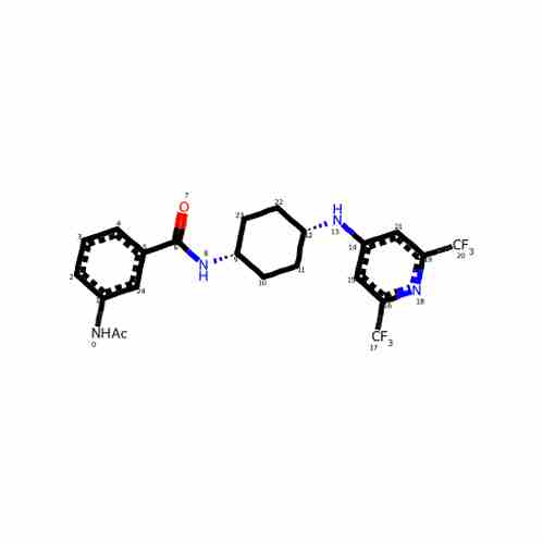 CC(=O)Nc1cccc(C(=O)N[C@H]2CC[C@@H](Nc3cc(C(F)(F)F)nc(C(F)(F)F)c3)CC2)c1